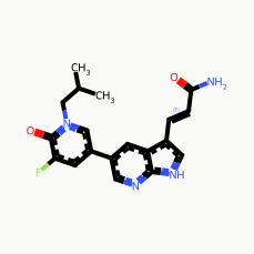 CC(C)Cn1cc(-c2cnc3[nH]cc(/C=C/C(N)=O)c3c2)cc(F)c1=O